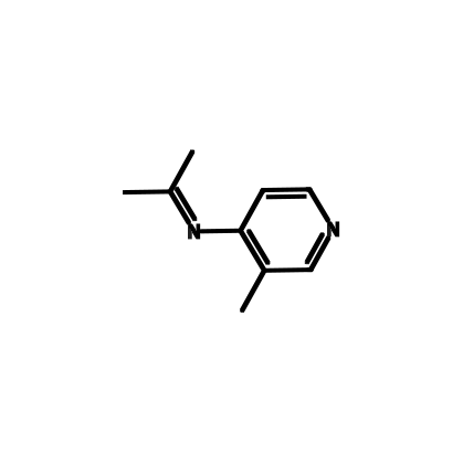 CC(C)=Nc1ccncc1C